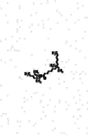 CCCCCCC(C)(CC)CCCCCCC(=O)NCC(C)(CCC)CCCC